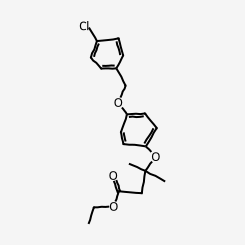 CCOC(=O)CC(C)(C)Oc1ccc(OCc2ccc(Cl)cc2)cc1